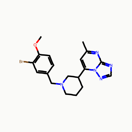 COc1ccc(CN2CCCC(c3cc(C)nc4ncnn34)C2)cc1Br